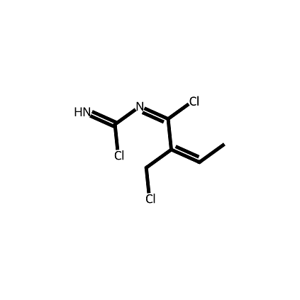 C/C=C(CCl)\C(Cl)=N/C(=N)Cl